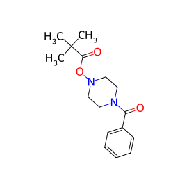 CC(C)(C)C(=O)ON1CCN(C(=O)c2ccccc2)CC1